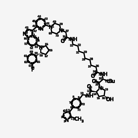 Cc1ncsc1-c1ccc(CNC(=O)[C@@H]2C[C@@H](O)CN2C(=O)[C@@H](NC(=O)CCCCCCCCNC(=O)CN2CCN(c3cccc(-c4cnc5ccc(N6CCC[C@@H]6c6cccc(F)c6)nn45)n3)CC2)C(C)(C)C)cc1